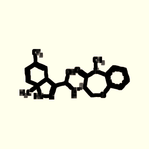 CN1C(=O)[C@@H](NC(O)C2=NNC3(C)C=CC(C(F)(F)F)=CC23)COc2ccccc21